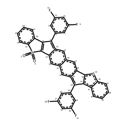 O=S1(=O)C2=C(C(c3cc(F)cc(F)c3)=c3cc4cc5c(cc4cc32)=C(c2cc(F)cc(F)c2)c2c-5sc3ccccc23)c2ccccc21